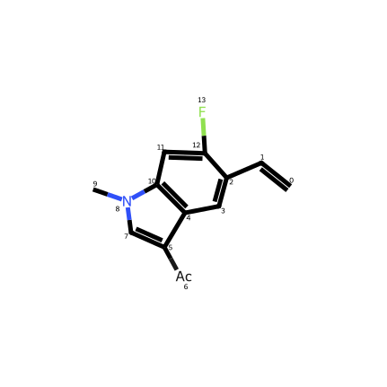 C=Cc1cc2c(C(C)=O)cn(C)c2cc1F